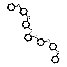 c1ccc(Oc2ccc(Oc3cccc(Oc4ccccc4Oc4cccc(Oc5ccc(Oc6ccccc6)cc5)c4)c3)cc2)cc1